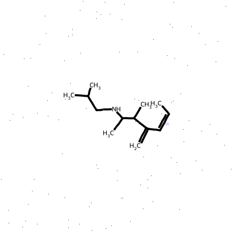 C=C(/C=C\C)C(C)C(C)NCC(C)C